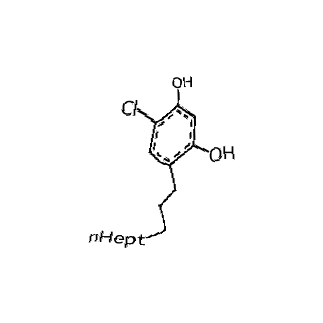 CCCCCCCCCCc1cc(Cl)c(O)cc1O